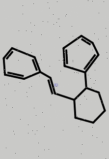 C(=C\C1CCCCC1c1ccccc1)/c1ccccc1